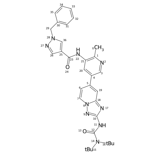 Cc1ncc(-c2ccn3nc(NC(=O)N(C(C)(C)C)C(C)(C)C)nc3c2)cc1NC(=O)c1cnn(Cc2ccccc2)c1